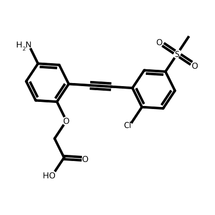 CS(=O)(=O)c1ccc(Cl)c(C#Cc2cc(N)ccc2OCC(=O)O)c1